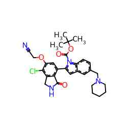 CC(C)(C)OC(=O)n1c(-c2cc(OCC#N)c(Cl)c3c2C(=O)NC3)cc2cc(CN3CCCCC3)ccc21